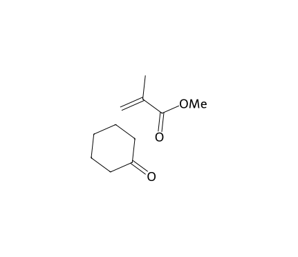 C=C(C)C(=O)OC.O=C1CCCCC1